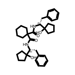 O=C(N[C@H](Cc1ccccc1)C1(O)CCCC1)C1(C(=O)N[C@H](Cc2ccccc2)C2(O)CCCC2)CCCCC1